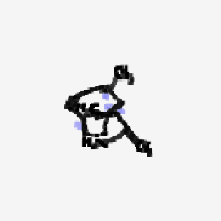 C=C(N)/C=C\C1=C/C/C(C)=C/C(C)=C\C#C1